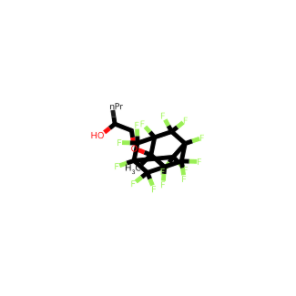 CCCC(O)COC1(C)C2(F)C(F)(F)C3(F)C(F)(F)C(F)(C2(F)F)C(F)(F)C1(F)C3(F)F